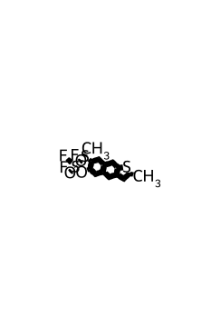 CSc1cc2cc3sc(C)cc3cc2cc1OS(=O)(=O)C(F)(F)F